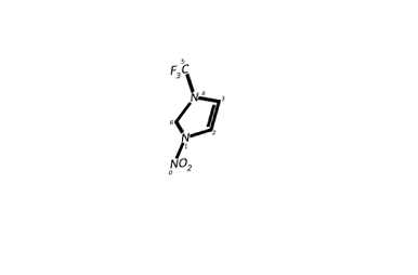 O=[N+]([O-])N1C=CN(C(F)(F)F)C1